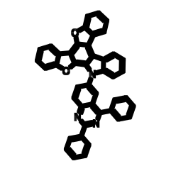 c1ccc(-c2nc(-c3ccccc3)c3cc(-n4c5ccccc5c5c6c7ccccc7oc6c6c7ccccc7oc6c54)ccc3n2)cc1